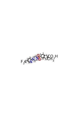 CC1(C(=O)O)Cc2ccc(S(=O)(=O)N3CCN(c4ccc(C(F)(F)F)cn4)CC3)cc2C1